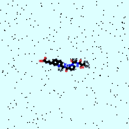 CC(C)[C@H](O)C(=O)N[C@@H](C)C(=O)N1CCC[C@@H](C(=O)N[C@H](C)c2ccc3ccc(/C=C/CC(=O)O)cc3n2)N1